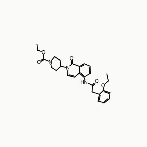 CCOC(=O)N1CCC(n2ccc3c(NC(=O)Cc4ccccc4OCC)cccc3c2=O)CC1